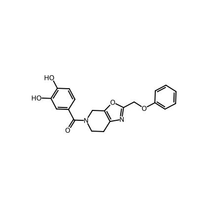 O=C(c1ccc(O)c(O)c1)N1CCc2nc(COc3ccccc3)oc2C1